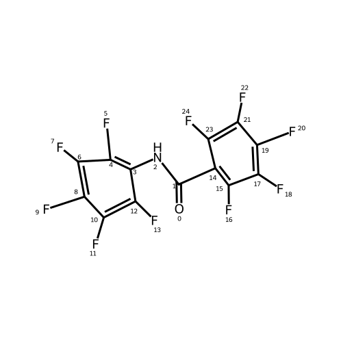 O=C(Nc1c(F)c(F)c(F)c(F)c1F)c1c(F)c(F)c(F)c(F)c1F